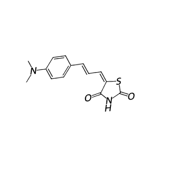 CN(C)c1ccc(C=CC=C2SC(=O)NC2=O)cc1